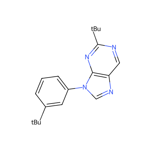 CC(C)(C)c1cccc(-n2cnc3cnc(C(C)(C)C)nc32)c1